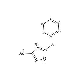 CC(=O)c1coc(Cc2ccccc2)n1